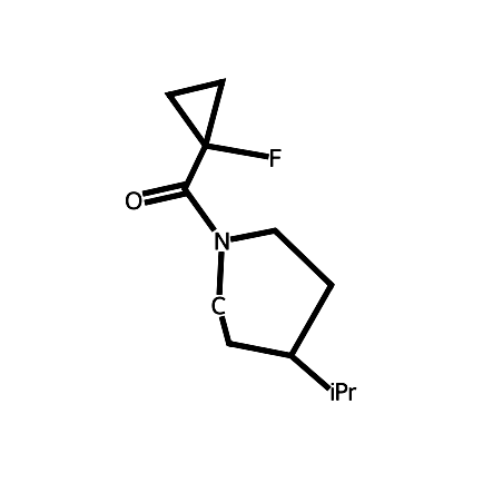 CC(C)C1CCN(C(=O)C2(F)CC2)CC1